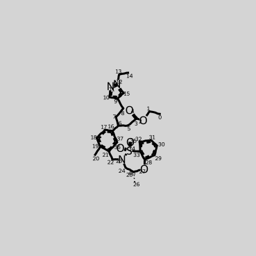 CCOC(=O)CC(CCc1cnn(CC)c1)c1ccc(C)c(CN2C[C@@H](C)Oc3ccccc3S2(=O)=O)c1